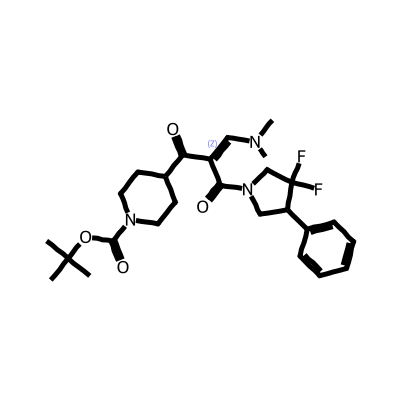 CN(C)/C=C(/C(=O)C1CCN(C(=O)OC(C)(C)C)CC1)C(=O)N1CC(c2ccccc2)C(F)(F)C1